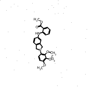 COC(=O)c1ccccc1Nc1ccc2c(c1)CN(c1ccc(OC)c(OC)c1OC)C2